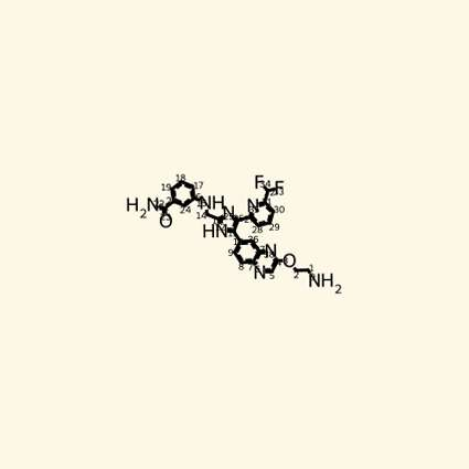 NCCOc1cnc2ccc(-c3[nH]c(CNc4cccc(C(N)=O)c4)nc3-c3cccc(C(F)F)n3)cc2n1